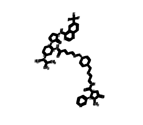 CC(C)N(C)[C@@H]1CC[C@H](N2CC[C@H](Nc3ncnc4ccc(C(F)(F)F)cc34)C2=O)[C@H](NC(=O)CCCOC[C@H]2CC[C@H](COCCNC(=O)[C@H]3CC(=O)N(C)[C@@H]3c3cccnc3)CC2)C1